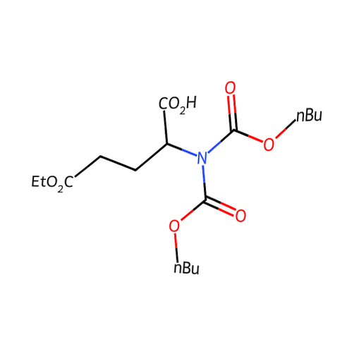 CCCCOC(=O)N(C(=O)OCCCC)C(CCC(=O)OCC)C(=O)O